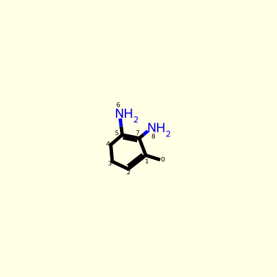 CC1=CCCC(N)=C1N